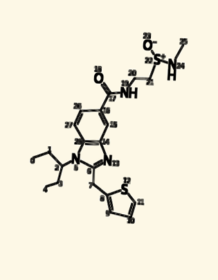 CCC(CC)n1c(Cc2cccs2)nc2cc(C(=O)NCC[S+]([O-])NC)ccc21